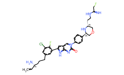 C=C[C@H](N)CCCc1cc(Cl)c(F)c(-c2cc3cn(-c4ccc([C@@H]5COC[C@@H](CCNC(=N)CF)N5)cc4)c(=O)nc3[nH]2)c1